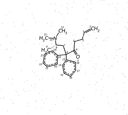 C=CCCC(=O)C(C[C@H](C)N(C)C)(c1ccccc1)c1ccccc1